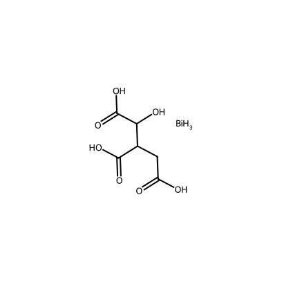 O=C(O)CC(C(=O)O)C(O)C(=O)O.[BiH3]